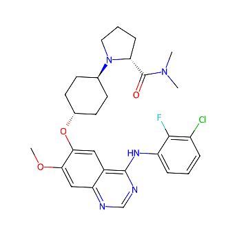 COc1cc2ncnc(Nc3cccc(Cl)c3F)c2cc1O[C@H]1CC[C@H](N2CCC[C@@H]2C(=O)N(C)C)CC1